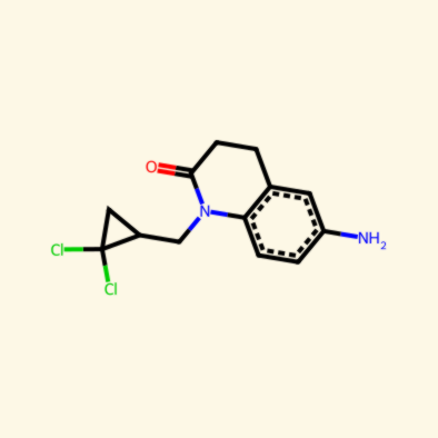 Nc1ccc2c(c1)CCC(=O)N2CC1CC1(Cl)Cl